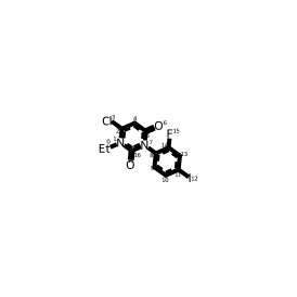 CCn1c(Cl)cc(=O)n(-c2ccc(I)cc2F)c1=O